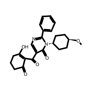 CO[C@H]1CC[C@H](n2c(-c3ccccc3)ncc(C(=O)C3=C(O)CCCC3=O)c2=O)CC1